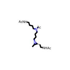 CC(=O)NCCCCN(CCCCN1C(C)[C@H]1CCNC(C)=O)C(C)=O